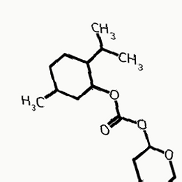 CC1CCC(C(C)C)[C](OC(=O)OC2CCCCO2)C1